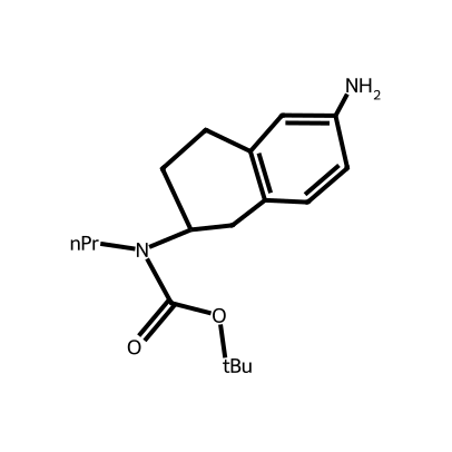 CCCN(C(=O)OC(C)(C)C)C1CCc2cc(N)ccc2C1